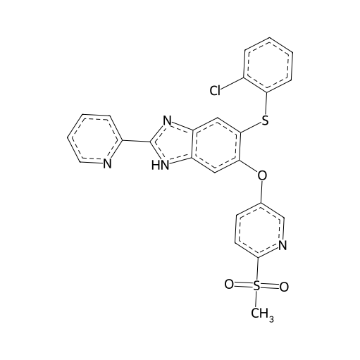 CS(=O)(=O)c1ccc(Oc2cc3[nH]c(-c4ccccn4)nc3cc2Sc2ccccc2Cl)cn1